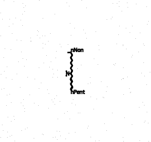 CCCCCC=CCC=CCC(CCCCCCCC(C)CCCCCCCCC)N(C)C